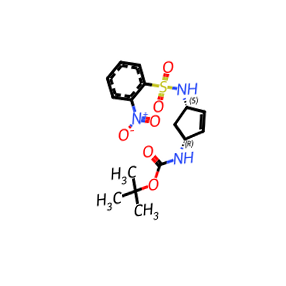 CC(C)(C)OC(=O)N[C@H]1C=C[C@@H](NS(=O)(=O)c2ccccc2[N+](=O)[O-])C1